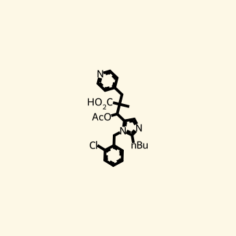 CCCCc1ncc(C(OC(C)=O)C(C)(Cc2ccncc2)C(=O)O)n1Cc1ccccc1Cl